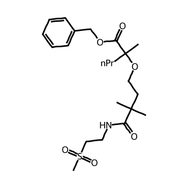 CCCC(C)(OCCC(C)(C)C(=O)NCCS(C)(=O)=O)C(=O)OCc1ccccc1